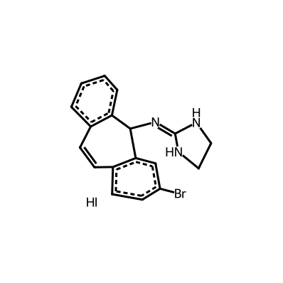 Brc1ccc2c(c1)C(N=C1NCCN1)c1ccccc1C=C2.I